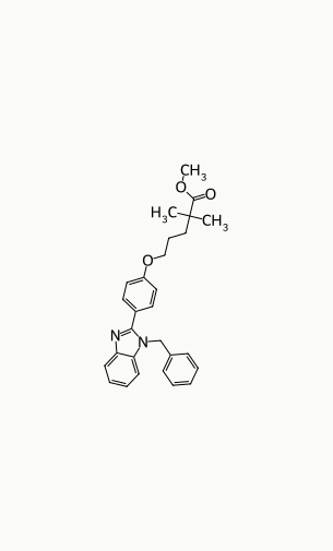 COC(=O)C(C)(C)CCCOc1ccc(-c2nc3ccccc3n2Cc2ccccc2)cc1